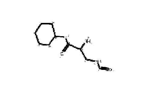 NC(CNC=O)C(=O)OC1CCCCC1